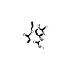 C=CCOC(=O)C=C.NC(=O)Nc1cc[nH]c(=O)n1